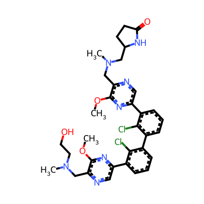 COc1nc(-c2cccc(-c3cccc(-c4cnc(CN(C)CC5CCC(=O)N5)c(OC)n4)c3Cl)c2Cl)cnc1CN(C)CCO